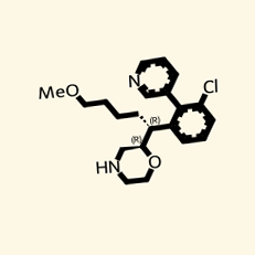 COCCCC[C@H](c1cccc(Cl)c1-c1cccnc1)[C@@H]1CNCCO1